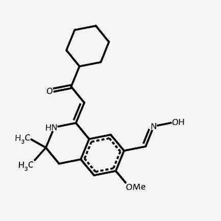 COc1cc2c(cc1/C=N/O)/C(=C/C(=O)C1CCCCC1)NC(C)(C)C2